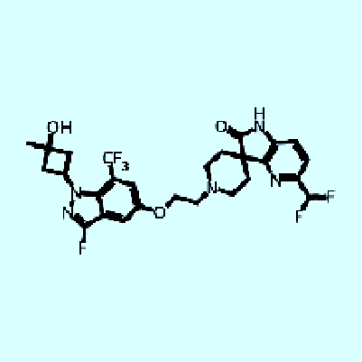 CC1(O)CC(n2nc(F)c3cc(OCCN4CCC5(CC4)C(=O)Nc4ccc(C(F)F)nc45)cc(C(F)(F)F)c32)C1